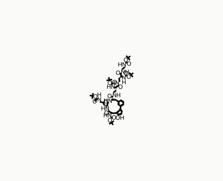 CC(C)(C)OC(=O)NCCC[C@@H]1NC(=O)[C@@H](NC(=O)OC(C)(C)C)Cc2cc(ccc2O)-c2cccc(c2)C[C@@H](C(=O)NCC[C@H](NC(=O)OC(C)(C)C)C(=O)NCC[C@H](NC(=O)OC(C)(C)C)C(=O)NCCNC(=O)OC(C)(C)C)NC1=O